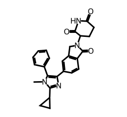 Cn1c(C2CC2)nc(-c2ccc3c(c2)CN(C2CCC(=O)NC2=O)C3=O)c1-c1ccccc1